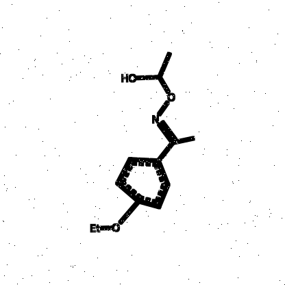 CCOc1ccc(C(C)=NOC(C)O)cc1